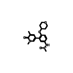 Cc1cc(-c2cc(N[S+](C)[O-])ccc2OC2CCOCC2)cn(C)c1=O